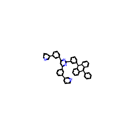 C1=CC2=C(c3ccccc3)c3ccccc3C(c3cccc(-c4nc(-c5cccc(-c6cccnc6)c5)cc(-c5cccc(-c6cccnc6)c5)n4)c3)C2C=C1